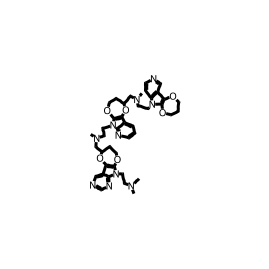 CN(C)CCn1c2c(c3cncnc31)OC(CN(C)CCn1c3c(c4cccnc41)OC(CN(C)CCn1c4c(c5cnccc51)OCCCO4)CCO3)CCO2